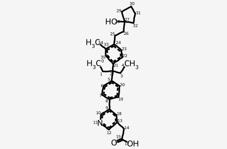 CCC(CC)(c1ccc(-c2cncc(CC(=O)O)c2)cc1)c1ccc(CCC2(O)CCCC2)c(C)c1